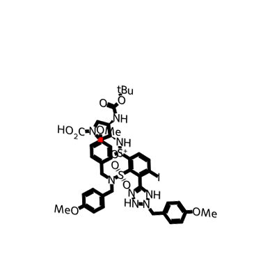 COc1ccc(CN2NN=C(c3c(I)ccc([S+]([O-])N[C@@H]4CN(C(=O)O)C[C@H]4NC(=O)OC(C)(C)C)c3S(=O)(=O)N(Cc3ccc(OC)cc3)Cc3ccc(OC)cc3)N2)cc1